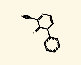 N#CC1=NC=CC(c2ccccc2)C1=O